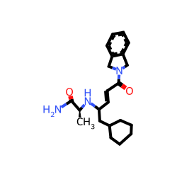 C[C@H](NC(C=CC(=O)N1Cc2ccccc2C1)CC1CCCCC1)C(N)=O